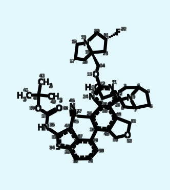 CCN1CC2CCC(C1)N2c1nc(OC[C@@]23CCCN2C[C@H](F)C3)nc2c(F)c(-c3cccc4sc(NC(=O)OC(C)(C)C)c(C#N)c34)c3c(c12)COC3